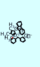 CC1=C(C)C(C)[C]([Zr+2](=[C](c2ccccc2)c2ccccc2)[c]2cccc3c2Cc2ccccc2-3)=C1C.[Cl-].[Cl-]